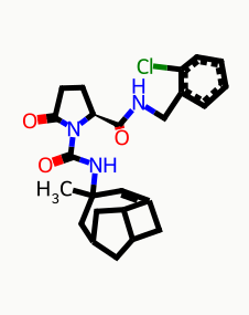 CC1(NC(=O)N2C(=O)CC[C@H]2C(=O)NCc2ccccc2Cl)C=C2CC3CC(CC23)C1